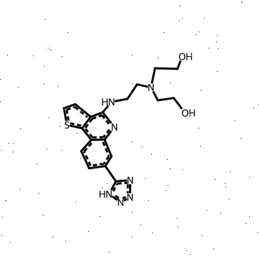 OCCN(CCO)CCNc1nc2cc(-c3nnn[nH]3)ccc2c2sccc12